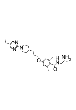 CCc1cnc(N2CCC(CCCOc3cc(C)c(C(=O)NC[C@@H](C)N)c(C)c3)CC2)nc1